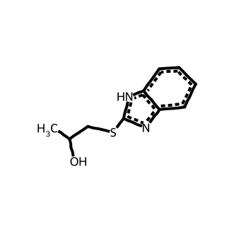 CC(O)CSc1nc2ccccc2[nH]1